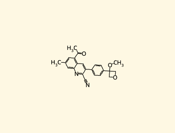 COC1(c2ccc(-c3cc4c(C(C)=O)cc(C)cc4nc3C#N)cc2)COC1